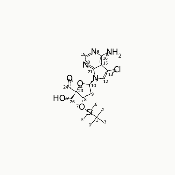 CC(C)(C)[Si](C)(C)O[C@H]1C[C@H](n2cc(Cl)c3c(N)ncnc32)O[C@]1(C=O)CO